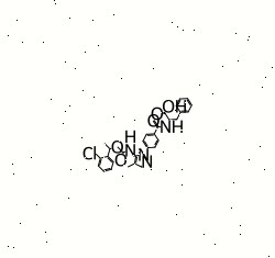 Cc1cnn(-c2ccc(C(=O)N[C@H](Cc3ccccc3)C(=O)O)cc2)c1NC(=O)OC(C)c1ccccc1Cl